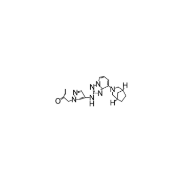 O=C(I)Cn1cc(Nc2nc3c(N4C[C@@H]5CC[C@@H](C5)C4)cccn3n2)cn1